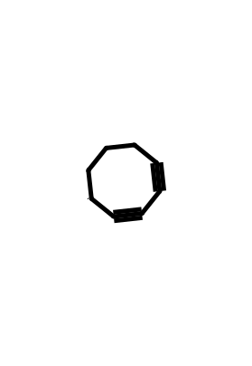 C1#C[CH]CCCC#C1